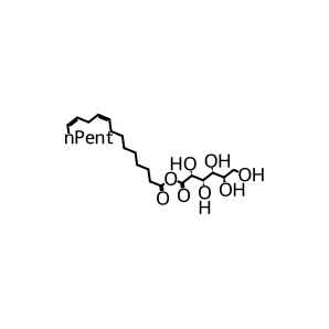 CCCCC/C=C\C/C=C\CCCCCCCC(=O)OC(=O)[C@H](O)[C@@H](O)[C@H](O)[C@H](O)CO